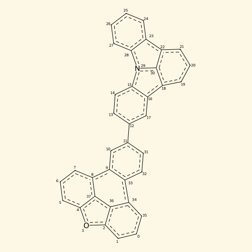 c1cc2oc3cccc4c5cc(-c6ccc7c(c6)c6cccc8c9ccccc9n7c86)ccc5c(c1)c2c34